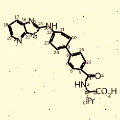 CC(C)[C@H](NC(=O)c1ccc(-c2ccc(Nc3nc4cccnc4s3)cc2)cc1)C(=O)O